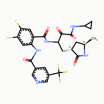 C[C@@H]1C[C@@H](CC(NC(=O)c2cc(F)c(F)cc2NC(=O)c2cncc(C(F)(F)F)c2)C(=O)C(=O)NC2CC2)C(=O)N1